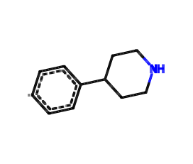 [c]1ccc(C2CCNCC2)cc1